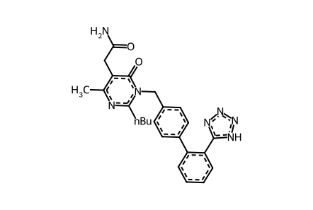 CCCCc1nc(C)c(CC(N)=O)c(=O)n1Cc1ccc(-c2ccccc2-c2nnn[nH]2)cc1